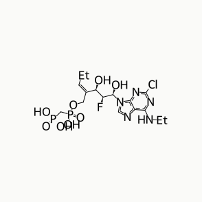 CC/C=C(/COP(=O)(O)CP(=O)(O)O)[C@@H](O)[C@H](F)[C@@H](O)n1cnc2c(NCC)nc(Cl)nc21